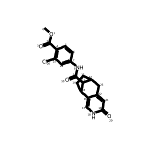 COC(=O)c1ccc(NC(=O)C2C3CCC2c2c[nH]c(=O)cc2C3)cc1Cl